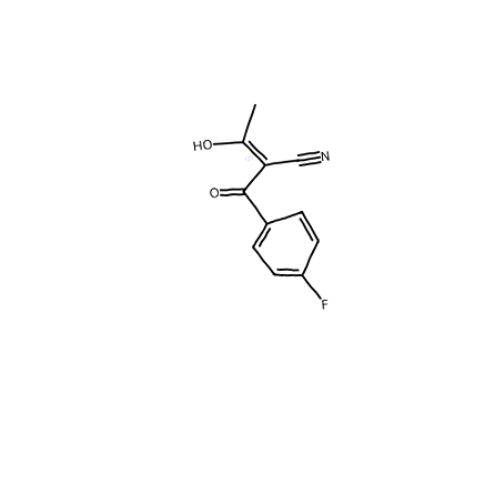 C/C(O)=C(\C#N)C(=O)c1ccc(F)cc1